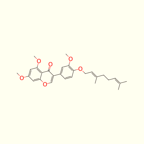 COc1cc(OC)c2c(=O)c(-c3ccc(OC/C=C(\C)CCC=C(C)C)c(OC)c3)coc2c1